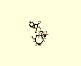 CC1(C2(NC(=O)CN3C(=O)C4C5CCC(C5)C4C3=O)CC2)CCCCCCC(I)CC1